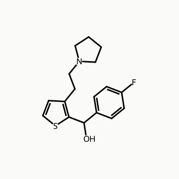 OC(c1ccc(F)cc1)c1sccc1CCN1CCCC1